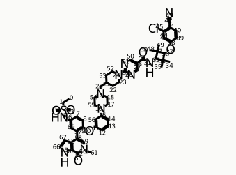 CCS(=O)(=O)Nc1ccc(Oc2cccc(N3CCN(CC4CCN(c5ncc(C(=O)N[C@H]6C(C)(C)[C@H](Oc7ccc(C#N)c(Cl)c7)C6(C)C)cn5)CC4)CC3)c2)c(-c2cn(C)c(=O)c3[nH]ccc23)c1